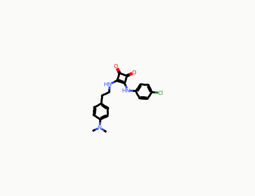 CN(C)c1ccc(CCNc2c(Nc3ccc(Cl)cc3)c(=O)c2=O)cc1